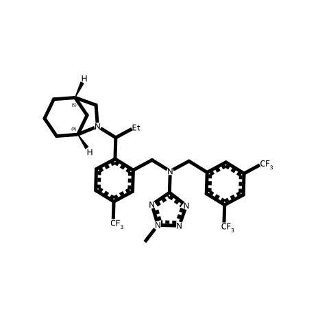 CCC(c1ccc(C(F)(F)F)cc1CN(Cc1cc(C(F)(F)F)cc(C(F)(F)F)c1)c1nnn(C)n1)N1C[C@H]2CCC[C@@H]1C2